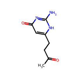 CC(=O)CCc1cc(=O)nc(N)[nH]1